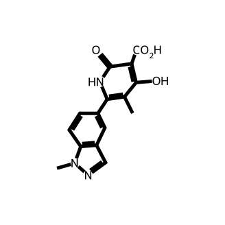 Cc1c(-c2ccc3c(cnn3C)c2)[nH]c(=O)c(C(=O)O)c1O